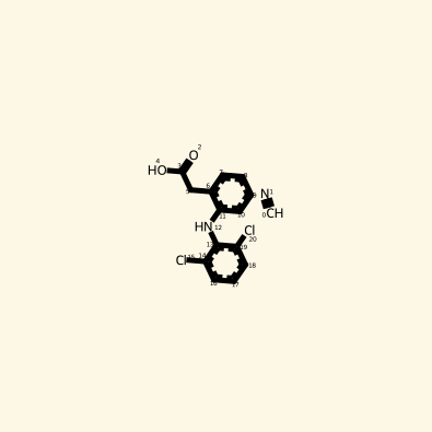 C#N.O=C(O)Cc1ccccc1Nc1c(Cl)cccc1Cl